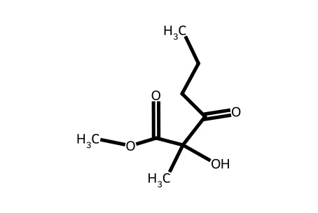 CCCC(=O)C(C)(O)C(=O)OC